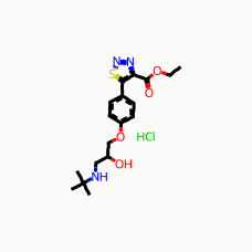 CCOC(=O)c1nnsc1-c1ccc(OCC(O)CNC(C)(C)C)cc1.Cl